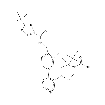 Cc1cc(-c2ccncc2N2CCN(C(=O)O)C(C)(C(C)(C)C)C2)ccc1CNC(=O)c1noc(C(C)(C)C)n1